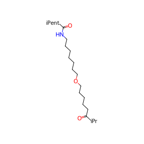 CCCC(C)C(=O)NCCCCCCCOCCCCCC(=O)C(C)C